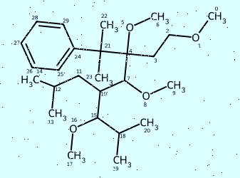 COCCC(OC)(C(OC)C(CC(C)C)C(OC)C(C)C)C(C)(C)c1ccccc1